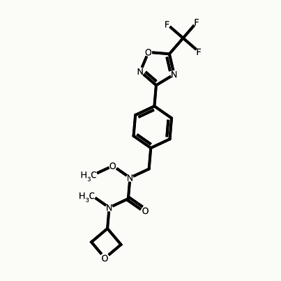 CON(Cc1ccc(-c2noc(C(F)(F)F)n2)cc1)C(=O)N(C)C1COC1